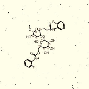 CO[C@@H]1O[C@H](COC(=O)Nc2ccccc2F)[C@@H](O[C@@H]2O[C@H](COC(=O)Nc3ccccc3F)[C@@H](O)[C@H](O)[C@H]2O)[C@H](O)[C@H]1O